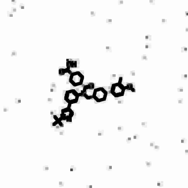 COc1ccc([C@H]2CC[C@H](CN(c3cccc(-c4cnn(C(C)(C)C)c4)c3)C(=O)[C@H]3CC[C@H](C(=O)O)CC3)CC2)cc1C